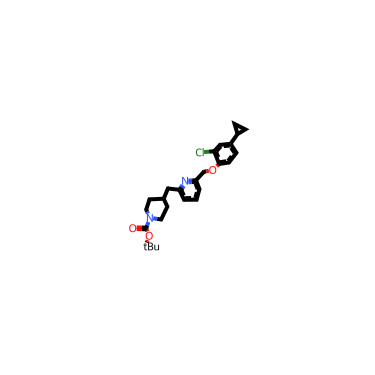 CC(C)(C)OC(=O)N1CCC(Cc2cccc(COc3ccc(C4CC4)cc3Cl)n2)CC1